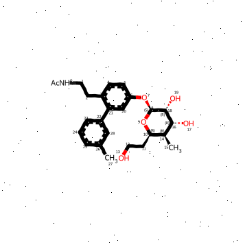 CC(=O)NCCc1ccc(O[C@@H]2O[C@H](CCO)[C@H](C)[C@@H](O)[C@H]2O)cc1-c1cccc(C)c1